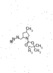 CC1CC(CN=[N+]=[N-])N(C(=O)OC(C)(C)C)C1